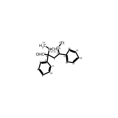 CCOC(CC(C=O)(c1ccccc1)N(C)C)c1ccccc1